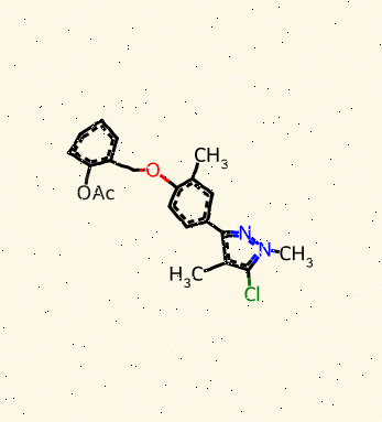 CC(=O)Oc1ccccc1COc1ccc(-c2nn(C)c(Cl)c2C)cc1C